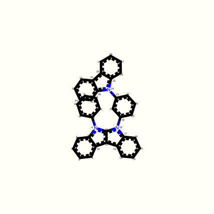 c1ccc(-n2c3ccccc3c3c4ccccc4n(-c4cccc(-n5c6ccccc6c6ccccc65)c4)c32)cc1